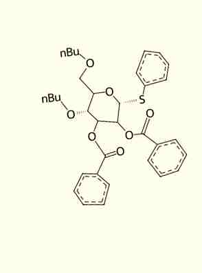 CCCCOCC1O[C@H](Sc2ccccc2)C(OC(=O)c2ccccc2)C(OC(=O)c2ccccc2)[C@@H]1OCCCC